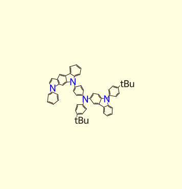 CC(C)(C)c1ccc(N(c2ccc(-n3c4ccccc4c4cc5ccn(-c6ccccc6)c5cc43)cc2)c2ccc3c(c2)c2ccccc2n3-c2ccc(C(C)(C)C)cc2)cc1